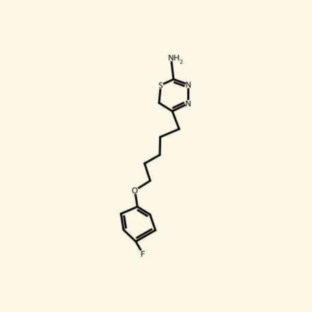 NC1=NN=C(CCCCCOc2ccc(F)cc2)CS1